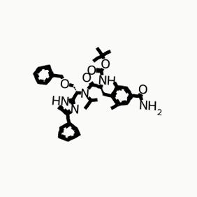 Cc1cc(C(N)=O)cc(C)c1C[C@H](NC(=O)OC(C)(C)C)C(=O)N(C(C)C)[C@@H](COCc1ccccc1)c1nc(-c2ccccc2)c[nH]1